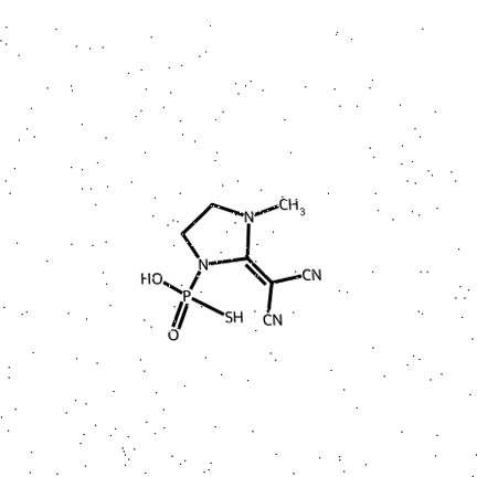 CN1CCN(P(=O)(O)S)C1=C(C#N)C#N